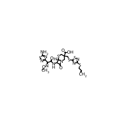 C=CCSc1nsc(SCC2(C(=O)O)CS[C@@H]3C(NC(=O)C(=NOC)c4nsc(N)n4)C(=O)N3C2)n1